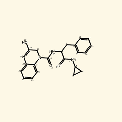 O=C(NC1CC1)C(Cc1ccccc1)NC(=O)N1CC(O)=Nc2ccccc21